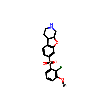 CC(C)Oc1cccc(S(=O)(=O)c2ccc3c(c2)OC2CNCCC32)c1F